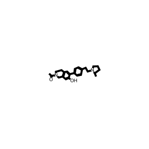 CC(=O)N1CCc2cc(-c3ccc(CCN4CCCC4C)cc3)c(O)cc2C1